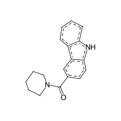 O=C(c1ccc2[nH]c3ccccc3c2c1)N1CCCCC1